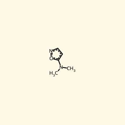 CN(C)c1ccno1